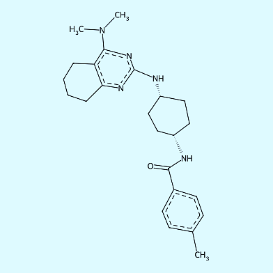 Cc1ccc(C(=O)N[C@H]2CC[C@@H](Nc3nc4c(c(N(C)C)n3)CCCC4)CC2)cc1